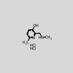 CNCc1nc(C)ccc1O.Cl.Cl